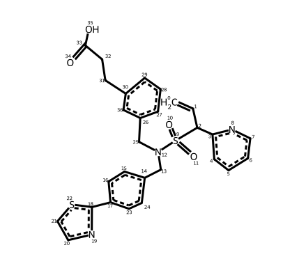 C=CC(c1ccccn1)S(=O)(=O)N(Cc1ccc(-c2nccs2)cc1)Cc1cccc(CCC(=O)O)c1